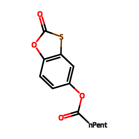 CCCCCC(=O)Oc1ccc2oc(=O)sc2c1